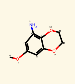 COc1cc(N)c2c(c1)OCCO2